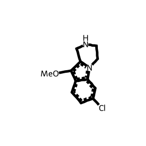 COc1c2n(c3cc(Cl)ccc13)CCNC2